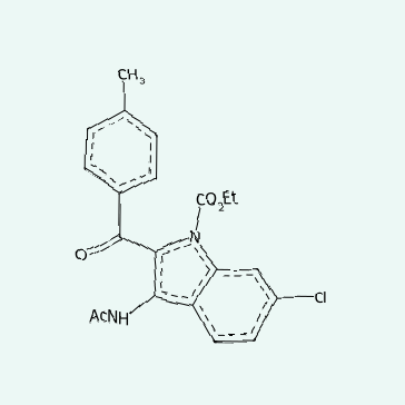 CCOC(=O)n1c(C(=O)c2ccc(C)cc2)c(NC(C)=O)c2ccc(Cl)cc21